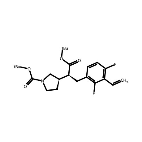 C=Cc1c(F)ccc(C[C@H](C(=O)OC(C)(C)C)[C@H]2CCN(C(=O)OC(C)(C)C)C2)c1F